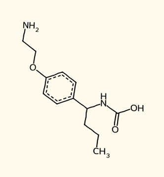 CCCC(NC(=O)O)c1ccc(OCCN)cc1